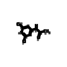 CC(=O)Nc1cc(Cl)nc(Cl)c1